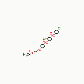 C=CC(=O)OCCCOc1ccc(C(=O)Oc2ccc(C(=O)Oc3ccc(Cl)cc3)cc2Cl)cc1